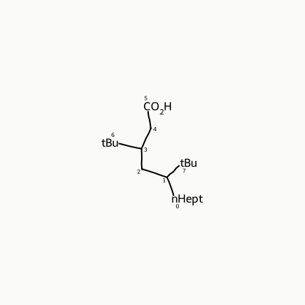 CCCCCCCC(CC(CC(=O)O)C(C)(C)C)C(C)(C)C